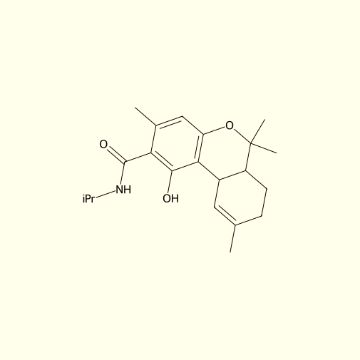 CC1=CC2c3c(cc(C)c(C(=O)NC(C)C)c3O)OC(C)(C)C2CC1